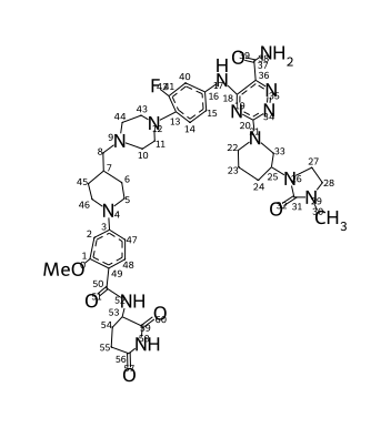 COc1cc(N2CCC(CN3CCN(c4ccc(Nc5nc(N6CCCC(N7CCN(C)C7=O)C6)nnc5C(N)=O)cc4F)CC3)CC2)ccc1C(=O)NC1CCC(=O)NC1=O